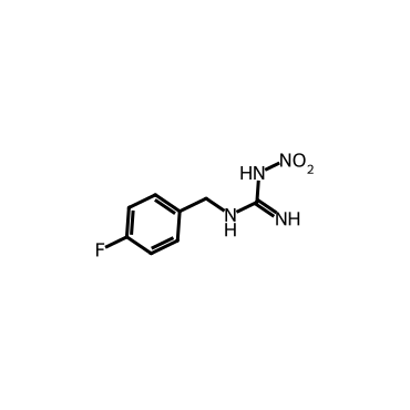 N=C(NCc1ccc(F)cc1)N[N+](=O)[O-]